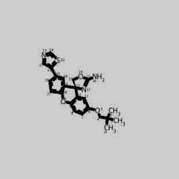 CC(C)(C)COc1ccc2c(c1)[C@]1(COC(N)=N1)c1cc(-c3cncs3)ccc1O2